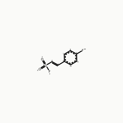 O=S(=O)(F)C=Cc1ccc(F)cc1